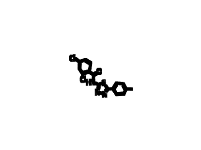 Cc1ccc(-c2nnc(NC(=O)c3ccc(Cl)cc3Cl)s2)cc1